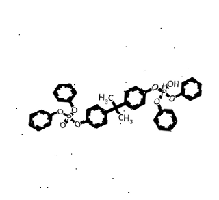 CC(C)(c1ccc(OP(=O)(Oc2ccccc2)Oc2ccccc2)cc1)c1ccc(O[PH](O)(Oc2ccccc2)Oc2ccccc2)cc1